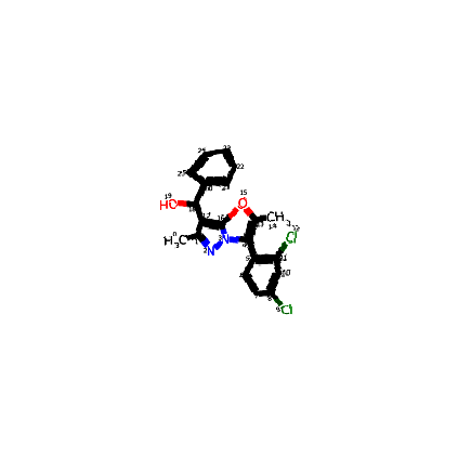 Cc1nn2c(-c3ccc(Cl)cc3Cl)c(C)oc2c1C(O)c1ccccc1